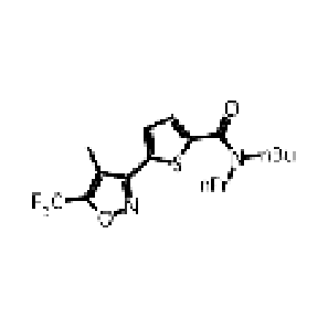 CCCCN(CCC)C(=O)c1ccc(-c2noc(C(F)(F)F)c2C)s1